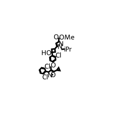 COC(=O)c1cc(C2CC(O)(c3ccc(OCc4c(-c5c(Cl)cccc5Cl)noc4C4CC4)cc3Cl)C2)n(CC(C)C)n1